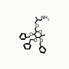 CC(CN)COCC1OC(C)C(OCc2ccccc2)C(OCc2ccccc2)C1OCc1ccccc1